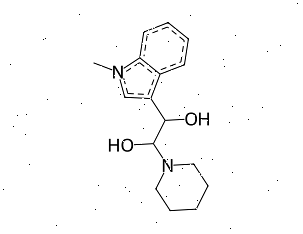 Cn1cc(C(O)C(O)N2CCCCC2)c2ccccc21